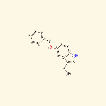 CC(C)Cc1c[nH]c2ccc(OCc3ccccc3)cc12